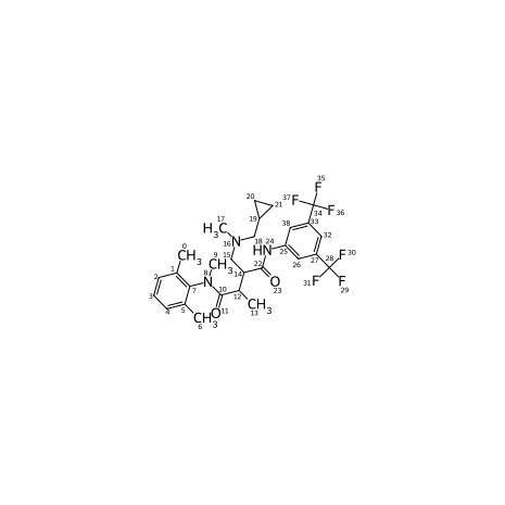 Cc1cccc(C)c1N(C)C(=O)C(C)C(CN(C)CC1CC1)C(=O)Nc1cc(C(F)(F)F)cc(C(F)(F)F)c1